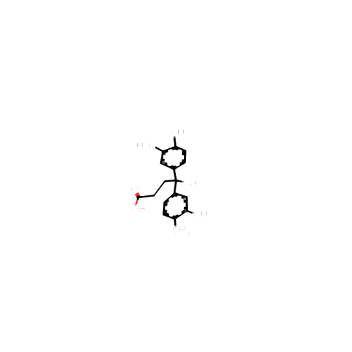 Cc1ccc(C(C)(CCC(=O)O)c2ccc(C)c(C)c2)cc1C